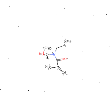 C=C(C)C(=O)N(C)CCNC.O=CO